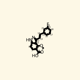 COc1c(C(=O)O)ccc2[nH]nc(C=Cc3cccc(F)c3)c12